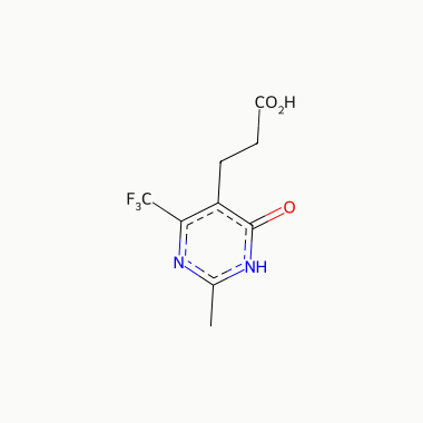 Cc1nc(C(F)(F)F)c(CCC(=O)O)c(=O)[nH]1